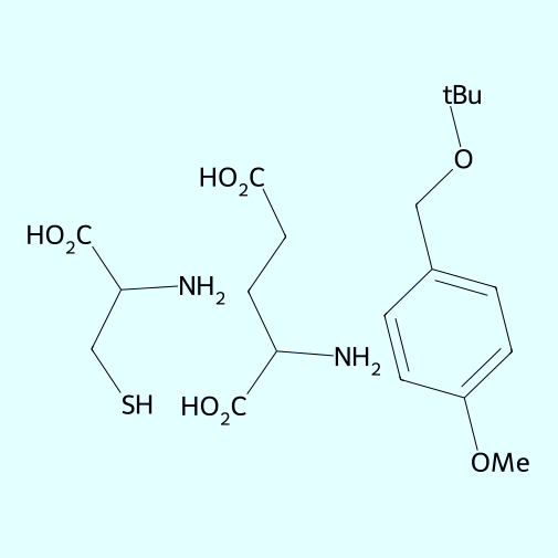 COc1ccc(COC(C)(C)C)cc1.NC(CCC(=O)O)C(=O)O.NC(CS)C(=O)O